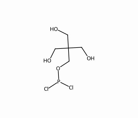 OCC(CO)(CO)COP(Cl)Cl